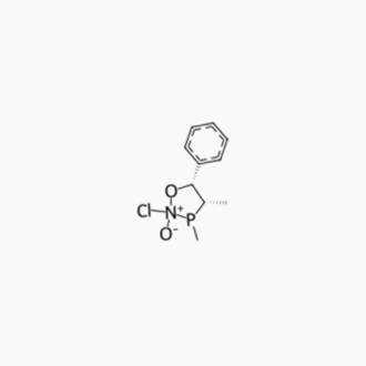 C[C@H]1[C@@H](c2ccccc2)O[N+]([O-])(Cl)P1C